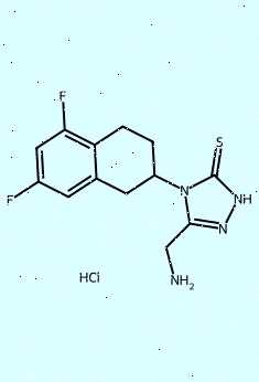 Cl.NCc1n[nH]c(=S)n1C1CCc2c(F)cc(F)cc2C1